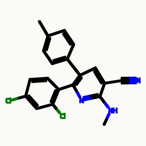 CNc1nc(-c2ccc(Cl)cc2Cl)c(-c2ccc(C)cc2)cc1C#N